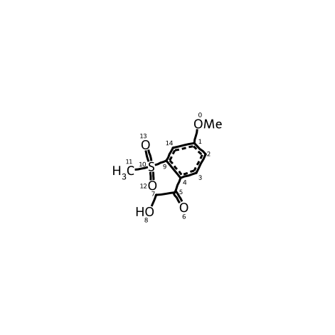 COc1ccc(C(=O)CO)c(S(C)(=O)=O)c1